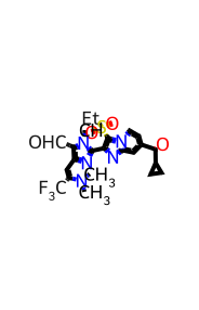 CCS(=O)(=O)c1c(-c2nc(/C=C(\N(C)C)C(F)(F)F)c(C=O)n2C)nc2cc(C(=O)C3CC3)ccn12